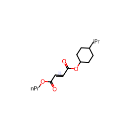 CCCOC(=O)/C=C/C(=O)OC1CCC(C(C)C)CC1